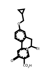 CCC1Cc2cc(OCC3CC3)ccc2-c2cc(=O)c(C(=O)O)cn21